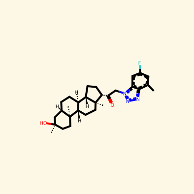 Cc1cc(F)cc2c1nnn2CC(=O)[C@H]1CC[C@H]2[C@@H]3CC[C@@H]4C[C@](C)(O)CC[C@]4(C)[C@H]3CC[C@]12C